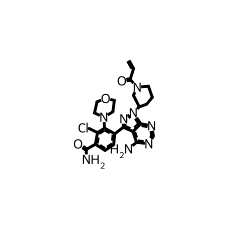 C=CC(=O)N1CCCC(n2nc(-c3ccc(C(N)=O)c(Cl)c3N3CCOCC3)c3c(N)ncnc32)C1